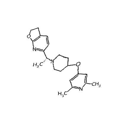 Cc1cc(OC2CCN([C@H](C)c3ccc4c(n3)OCC4)CC2)cc(C)n1